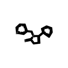 S=C1CC=C(c2ccccc2)N1Cc1cccnc1